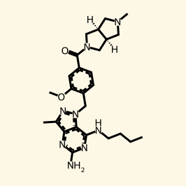 CCCCNc1nc(N)nc2c(C)nn(Cc3ccc(C(=O)N4C[C@H]5CN(C)C[C@H]5C4)cc3OC)c12